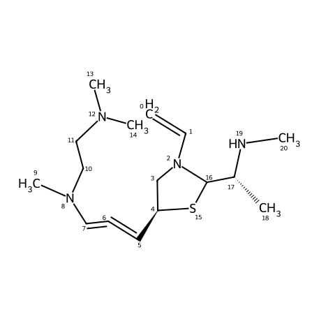 C=CN1C[C@H](C=C=CN(C)CCN(C)C)SC1[C@@H](C)NC